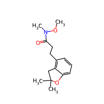 CON(C)C(=O)CCc1cccc2c1CC(C)(C)O2